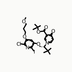 COCCCOc1cc(OC[C@H](n2ccc(=O)c(C(=O)OC(C)(C)C)c2)C(C)(C)C)c(I)nc1Cl